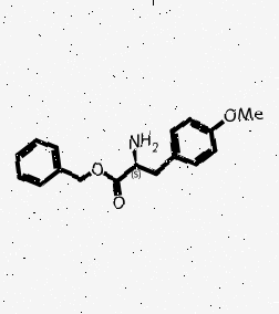 COc1ccc(C[C@H](N)C(=O)OCc2ccccc2)cc1